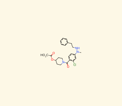 CN(NCCc1ccccc1)c1ccc(C(=O)N2CCC(OC(=O)C(=O)O)CC2)c(Cl)c1